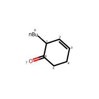 CCCCC1C=CCCC1=O